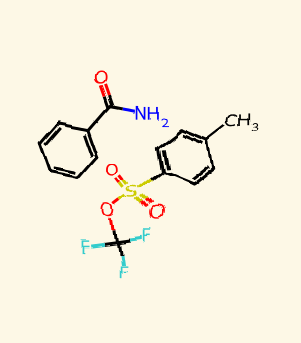 Cc1ccc(S(=O)(=O)OC(F)(F)F)cc1.NC(=O)c1ccccc1